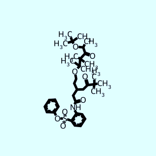 CC(OC(C)(C)C)C(=O)C(C)(C)C(C)(C)OCCC(CC(=O)Nc1ccccc1S(=O)(=O)Oc1ccccc1)CC(=O)C(C)(C)C